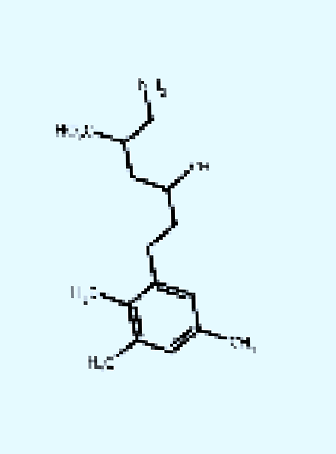 Cc1cc(C)c(C)c(CCC(C)CC(CN)C(=O)O)c1